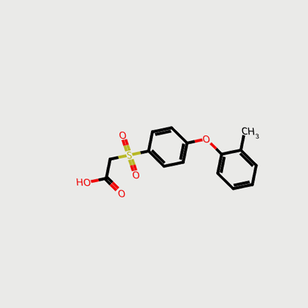 Cc1ccccc1Oc1ccc(S(=O)(=O)CC(=O)O)cc1